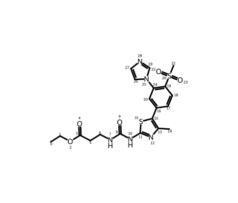 CCOC(=O)CCNC(=O)Nc1nc(C)c(-c2ccc(S(C)(=O)=O)c(-n3ccnc3)c2)s1